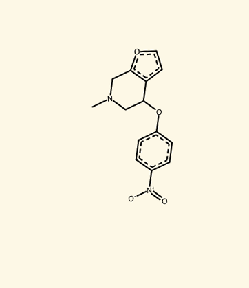 CN1Cc2occc2C(Oc2ccc([N+](=O)[O-])cc2)C1